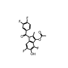 CC(=O)Oc1c(C)n(C(=O)c2ccc(F)c(F)c2)c2cc(F)c(O)c(F)c12